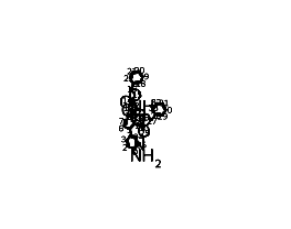 Nc1ccc(-c2ccn(S(=O)(=O)NC(=O)OCc3ccccc3)c2C(=O)OCc2ccccc2)cn1